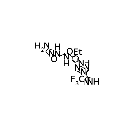 CCc1cc(Nc2nccn3c(-c4c[nH]nc4C(F)(F)F)cnc23)ccc1C(=O)NCCNC(=O)N1CCC(N)C1